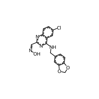 O/N=C\c1nc(NCc2ccc3c(c2)OCO3)c2cc(Cl)ccc2n1